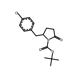 CC(C)(C)OC(=O)N1C(=O)CCC1Cc1ccc(Cl)cc1